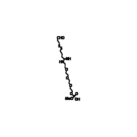 COP(=O)(O)OCCOCCOCCOCCNC(=N)CCCSSCCC=O